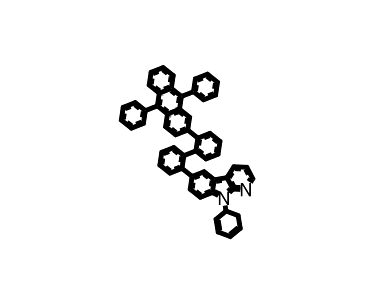 C1=CCC(n2c3ccc(-c4ccccc4-c4ccccc4-c4ccc5c(-c6ccccc6)c6ccccc6c(-c6ccccc6)c5c4)cc3c3cccnc32)C=C1